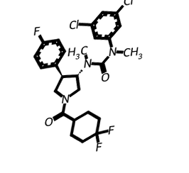 CN(C(=O)N(C)[C@@H]1CN(C(=O)C2CCC(F)(F)CC2)C[C@H]1c1ccc(F)cc1)c1cc(Cl)cc(Cl)c1